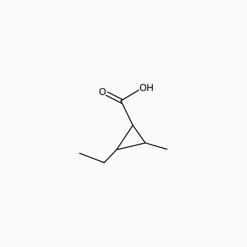 CCC1C(C)C1C(=O)O